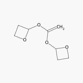 C=C(OC1CCO1)OC1CCO1